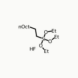 CCCCCCCCCC[Si](OCC)(OCC)OCC.F